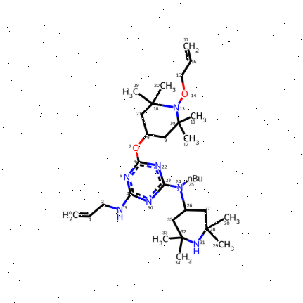 C=CCNc1nc(OC2CC(C)(C)N(OCC=C)C(C)(C)C2)nc(N(CCCC)C2CC(C)(C)NC(C)(C)C2)n1